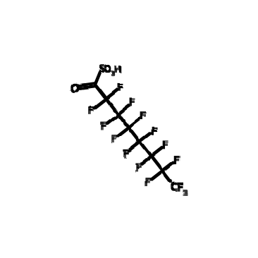 O=C(C(F)(F)C(F)(F)C(F)(F)C(F)(F)C(F)(F)C(F)(F)C(F)(F)F)S(=O)(=O)O